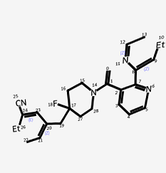 C=C(c1cccnc1C(=C/CC)/N=C\C)N1CCC(F)(CC(=C/C)/C=C(/C#N)CC)CC1